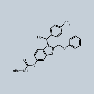 CCCCNC(=O)Oc1ccc2c(c1)cc(COc1ccccc1)n2C(S)c1ccc(C(F)(F)F)cc1